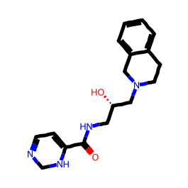 O=C(NC[C@H](O)CN1CCc2ccccc2C1)C1=CC=NCN1